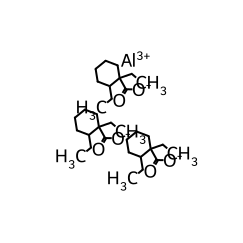 CCC1CCCCC1(CC)C(=O)[O-].CCC1CCCCC1(CC)C(=O)[O-].CCC1CCCCC1(CC)C(=O)[O-].[Al+3]